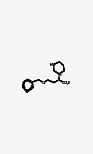 O=C(O)N(CCOCc1ccccc1)[C@H]1CCCNC1